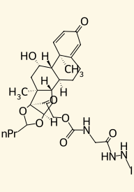 CCCC1O[C@@H]2C[C@H]3[C@@H]4CCC5=CC(=O)C=C[C@]5(C)[C@H]4[C@@H](O)C[C@]3(C)[C@]2(C(=O)COC(=O)NCC(=O)NNI)O1